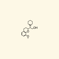 COc1cccc2c1OC(C(CO)N1CCCCC1)CC2